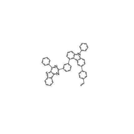 C=Cc1ccc(-c2ccc3c(c2)c2c(-c4cccc(-c5nc(-c6ccccc6)c6sc7ccccc7c6n5)c4)cccc2n3-c2ccccc2)cc1